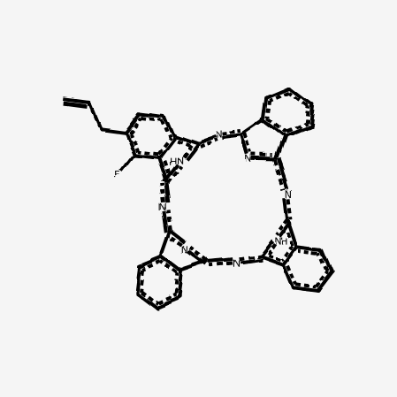 C=CCc1ccc2c3nc4nc(nc5[nH]c(nc6nc(nc([nH]3)c2c1F)-c1ccccc1-6)c1ccccc51)-c1ccccc1-4